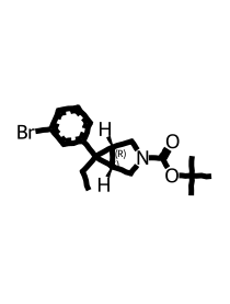 CCC1(c2cccc(Br)c2)[C@@H]2CN(C(=O)OC(C)(C)C)C[C@@H]21